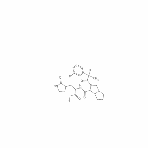 CC(F)(C(=O)N1CC2CCCC2C1C(=O)NC(CC1CCNC1=O)C(=O)CF)c1cccc(F)c1